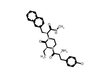 CC[C@H]1C(=O)N([C@@H](Cc2ccc3ccccc3c2)C(=O)NC)CCN1C(=O)[C@H](N)Cc1ccc(Cl)cc1